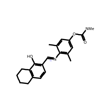 CNC(=O)Oc1cc(C)c(/N=C/c2ccc3c(c2O)CCCC3)c(C)c1